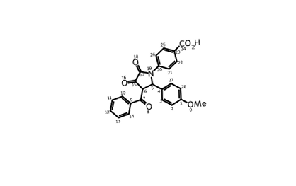 COc1ccc(C2C(C(=O)c3ccccc3)C(=O)C(=O)N2c2ccc(C(=O)O)cc2)cc1